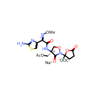 CO/N=C(\C(=O)N[C@@]1(COC(C)=O)CON(C2(C(=O)[O-])CCC(=O)O2)C1=O)c1csc(N)n1.[Na+]